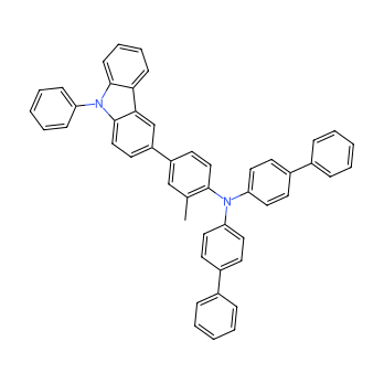 Cc1cc(-c2ccc3c(c2)c2ccccc2n3-c2ccccc2)ccc1N(c1ccc(-c2ccccc2)cc1)c1ccc(-c2ccccc2)cc1